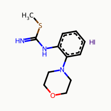 CSC(=N)Nc1ccccc1N1CCOCC1.I